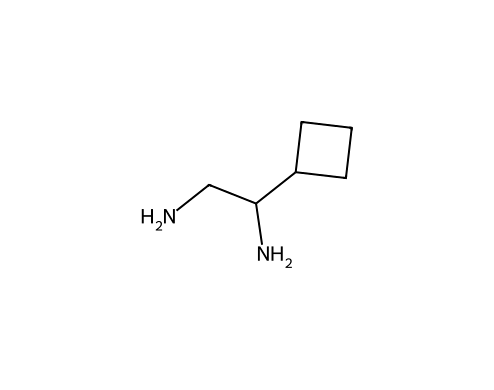 NCC(N)C1CCC1